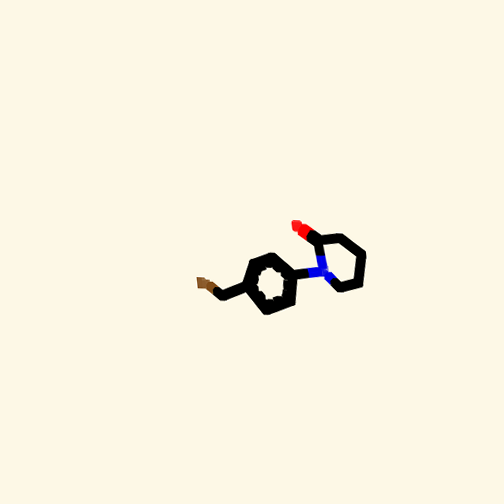 O=C1CCCCN1c1ccc(CBr)cc1